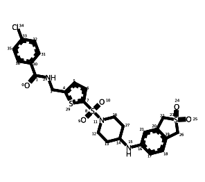 O=C(NCc1ccc(S(=O)(=O)N2CCC(Nc3ccc4c(c3)CS(=O)(=O)C4)CC2)s1)c1ccc(Cl)cc1